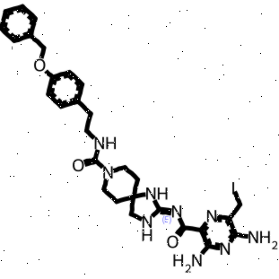 Nc1nc(N)c(C(=O)/N=C2\NCC3(CCN(C(=O)NCCc4ccc(OCc5ccccc5)cc4)CC3)N2)nc1CI